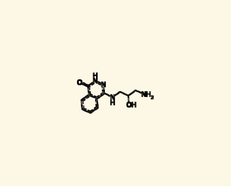 NCC(O)CNc1n[nH]c(=O)c2ccccc12